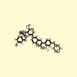 COc1ncc(-c2ccc3nc(N)c(-c4ccc(CN5CCOCC5)cc4)cc3c2)cc1NS(=O)(=O)c1ccc(F)cc1F